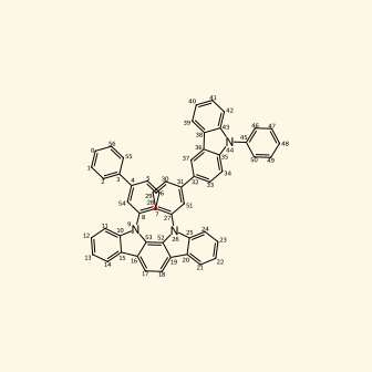 c1ccc(-c2cccc(-n3c4ccccc4c4ccc5c6ccccc6n(-c6cccc(-c7ccc8c(c7)c7ccccc7n8-c7ccccc7)c6)c5c43)c2)cc1